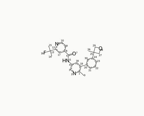 Cc1ncc(NC(=O)c2ccnc(C(C)(C)F)c2)cc1-c1cccc(C2(C)COC2)c1